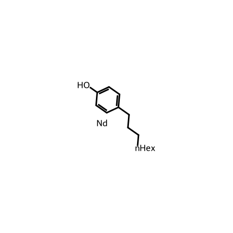 CCCCCCCCCc1ccc(O)cc1.[Nd]